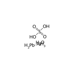 O.O=S(=O)(O)O.[AlH3].[PbH2]